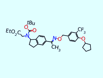 CCOC(=O)CN(C(=O)OC(C)(C)C)C1CCc2cc(/C(C)=N/OCc3ccc(OC4CCCC4)c(C(F)(F)F)c3)ccc21